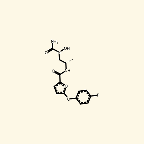 C[C@@H](CN(O)C(N)=O)NC(=O)c1ccc(Oc2ccc(F)cc2)o1